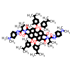 CCC(C)C(C(=O)Nc1ccc(N(C)C)cc1)N1C(=O)c2cc(Oc3ccc(C(C)C)cc3C)c3c4c(Oc5ccc(C(C)C)cc5C)cc5c6c(cc(Oc7ccc(C(C)C)cc7C)c(c7c(Oc8ccc(C(C)C)cc8C)cc(c2c37)C1=O)c64)C(=O)N(C(C(=O)Nc1ccc(N(C)C)cc1)C(C)CC)C5=O